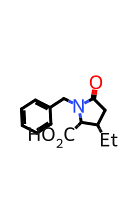 CCC1CC(=O)N(Cc2ccccc2)C1C(=O)O